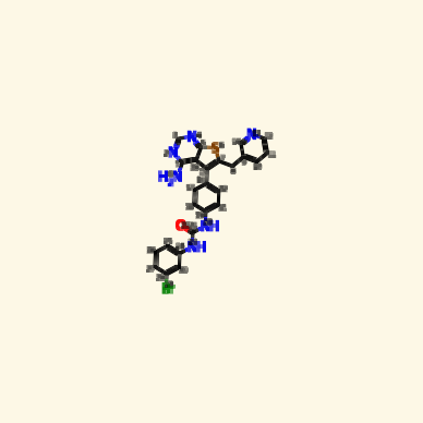 Nc1ncnc2sc(Cc3cccnc3)c(-c3ccc(NC(=O)Nc4cccc(Br)c4)cc3)c12